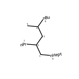 CCCCCCCCC([CH]C(C)CCCC)CCC